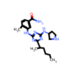 CCCCC(C)c1nc(Nc2cc(C(N)=O)ccc2C)nc(N[C@H]2CCNC2)n1